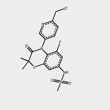 CC1(C)Oc2cc(NS(C)(=O)=O)cc(F)c2N(c2ccc(CCl)nc2)C1=O